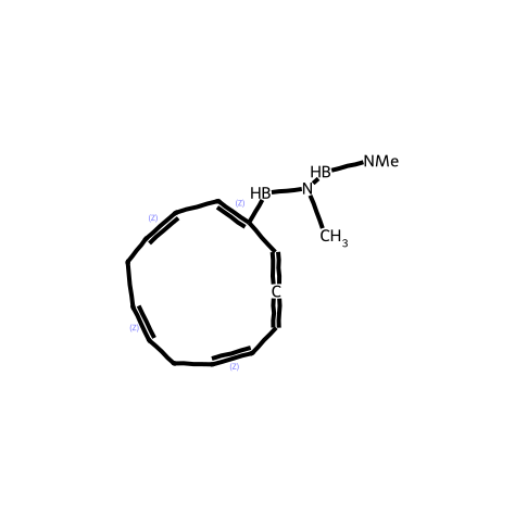 CNBN(C)B/C1=C/C=C\C/C=C\C/C=C\C=C=C1